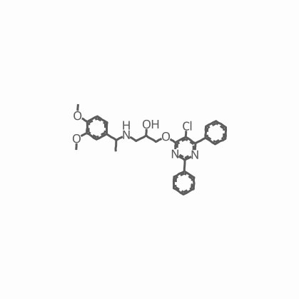 COc1ccc(C(C)NCC(O)COc2nc(-c3ccccc3)nc(-c3ccccc3)c2Cl)cc1OC